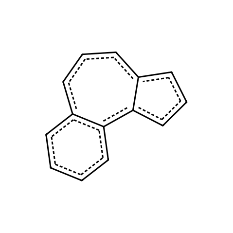 c1cc2cccc3ccccc3c-2c1